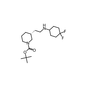 CC(C)(C)OC(=O)N1CCC[C@H](CCNC2CCC(F)(F)CC2)C1